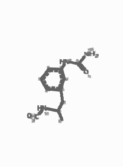 CC(Cc1cccc(NC(N)=O)c1)NC=O